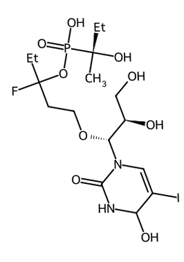 CCC(F)(CCO[C@H]([C@H](O)CO)N1C=C(I)C(O)NC1=O)OP(=O)(O)[C@@](C)(O)CC